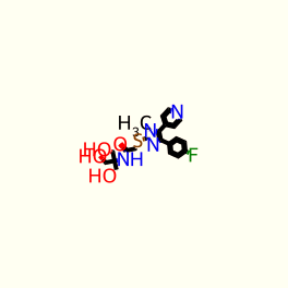 Cn1c(SCC(=O)NC(CO)(CO)CO)nc(-c2ccc(F)cc2)c1-c1ccncc1